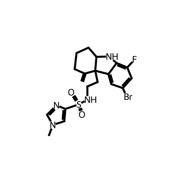 C=C1CCCC2Nc3c(F)cc(Br)cc3C12CCNS(=O)(=O)c1cn(C)cn1